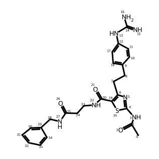 CC(=O)Nc1nc(CCc2ccc(NC(=N)N)cc2)c(C(=O)NCCC(=O)NCc2ccccc2)s1